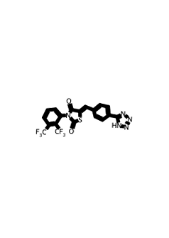 O=C1S/C(=C\c2ccc(-c3nnn[nH]3)cc2)C(=O)N1c1cccc(C(F)(F)F)c1C(F)(F)F